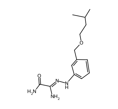 CC(C)CCOCc1cccc(NN=C(N)C(N)=O)c1